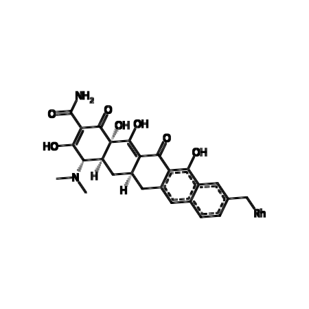 CN(C)[C@@H]1C(O)=C(C(N)=O)C(=O)[C@@]2(O)C(O)=C3C(=O)c4c(cc5ccc([CH2][Rh])cc5c4O)C[C@H]3C[C@@H]12